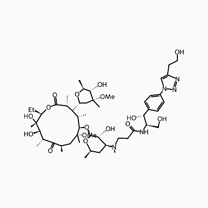 CC[C@H]1OC(=O)[C@H](C)C([C@H]2C[C@@](C)(OC)[C@@H](O)[C@H](C)O2)[C@H](C)[C@@H](O[C@@H]2O[C@H](C)C[C@H](N(C)CCC(=O)N[C@H](CO)[C@H](O)c3ccc(-n4cc(CCO)nn4)cc3)[C@H]2O)[C@](C)(OC)C[C@@H](C)C(=O)[C@H](C)[C@@H](O)[C@]1(C)O